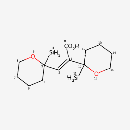 O=C(O)C(=CC1([SiH3])CCCCO1)C1([SiH3])CCCCO1